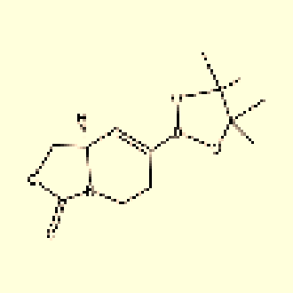 CC1(C)OB(C2=C[C@@H]3COC(=O)N3CC2)OC1(C)C